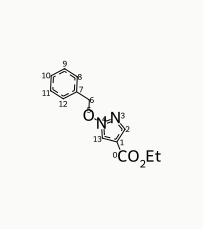 CCOC(=O)c1cnn(OCc2ccccc2)c1